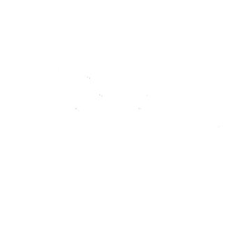 CC(=O)C(N)C1CCCN1c1cc(-c2ccc(F)cc2C)c(N(C)C(=O)C(C)(C)c2cc(C(F)(F)F)cc(C(F)(F)F)c2)cn1